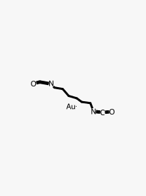 O=C=NCCCCCCN=C=O.[Au]